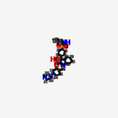 CC(C)(C)NS(=O)(=O)c1ccc(C2(O)C(=O)N(Cc3ccc(-n4ccnc4)cc3)c3ccccc32)cc1